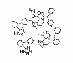 O=C([O-])C1c2c(ncn2Cc2ccc(-c3ccccc3-c3nnn[nH]3)cc2)CCN1C(=O)C(c1ccccc1)c1ccccc1.O=C([O-])C1c2c(ncn2Cc2ccc(-c3ccccc3-c3nnn[nH]3)cc2)CCN1C(=O)C(c1ccccc1)c1ccccc1.[Na+].[Na+]